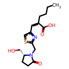 CCCCC(=Cc1csc(CN2C(=O)CC[C@@H]2CO)n1)C(=O)O